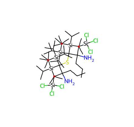 CCCC(N)(C[Si](Cl)(Cl)Cl)C(SC(C(N)(CCC)C[Si](Cl)(Cl)Cl)([Si](C(C)C)(C(C)C)C(C)C)[Si](C(C)C)(C(C)C)C(C)C)([Si](C(C)C)(C(C)C)C(C)C)[Si](C(C)C)(C(C)C)C(C)C